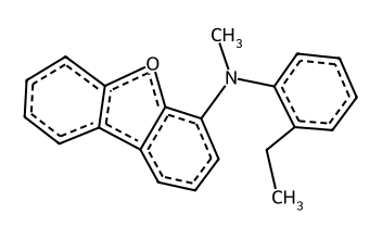 CCc1ccccc1N(C)c1cccc2c1oc1ccccc12